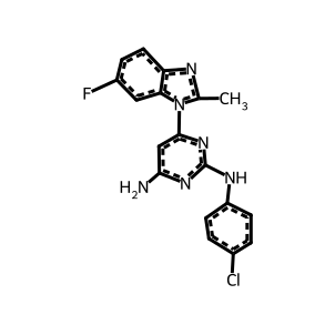 Cc1nc2ccc(F)cc2n1-c1cc(N)nc(Nc2ccc(Cl)cc2)n1